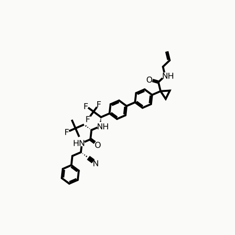 C=CCNC(=O)C1(c2ccc(-c3ccc([C@H](N[C@@H](CC(C)(C)F)C(=O)N[C@H](C#N)Cc4ccccc4)C(F)(F)F)cc3)cc2)CC1